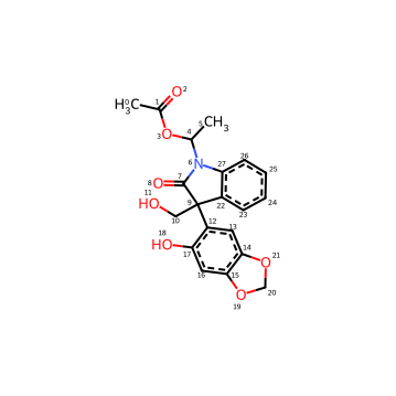 CC(=O)OC(C)N1C(=O)C(CO)(c2cc3c(cc2O)OCO3)c2ccccc21